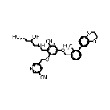 Cc1cc(OCc2cccc(-c3ccc4c(c3)OCCO4)c2C)cc(OCc2cncc(C#N)c2)c1CNCC(O)CC(=O)O